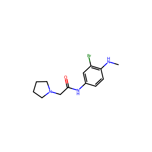 CNc1ccc(NC(=O)CN2CCCC2)cc1Br